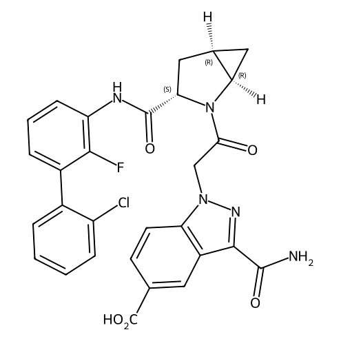 NC(=O)c1nn(CC(=O)N2[C@@H]3C[C@@H]3C[C@H]2C(=O)Nc2cccc(-c3ccccc3Cl)c2F)c2ccc(C(=O)O)cc12